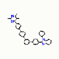 Cc1nc(C)c(C)c(-c2ccc(-c3ccc(-c4cccc(-c5ccc(-c6nc7ccccc7n6-c6ccccc6)cc5)c4)cc3)cc2)n1